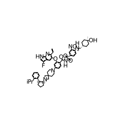 C=Cc1nc2[nH]cc(F)c2cc1Oc1cc(N2CCC3(CC2)CN([C@H]2CCC[C@H]2c2ccccc2C(C)C)C3)ccc1C(=O)NS(=O)(=O)c1ccc(NC[C@H]2CC[C@](C)(O)CC2)c([N+](=O)[O-])c1